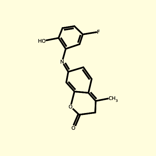 CC1=C2C=CC(=Nc3cc(F)ccc3O)C=C2OC(=O)C1